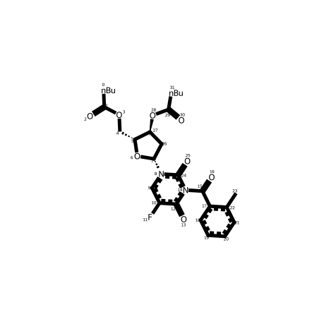 CCCCC(=O)OC[C@H]1O[C@@H](n2cc(F)c(=O)n(C(=O)c3ccccc3C)c2=O)C[C@@H]1OC(=O)CCCC